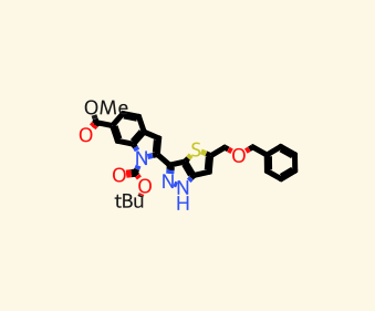 COC(=O)c1ccc2cc(-c3n[nH]c4cc(COCc5ccccc5)sc34)n(C(=O)OC(C)(C)C)c2c1